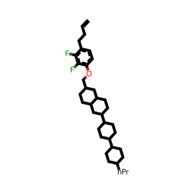 C=CCCc1ccc(OCC2CCC3CC(C4CCC(C5CCC(CCC)CC5)CC4)CCC3C2)c(F)c1F